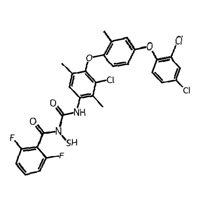 Cc1cc(Oc2ccc(Cl)cc2Cl)ccc1Oc1c(C)cc(NC(=O)N(S)C(=O)c2c(F)cccc2F)c(C)c1Cl